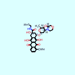 COc1cccc2c1C(=O)c1c(O)c3c(c(O)c1C2=O)C[C@@](O)(C(=O)NCSC)C[C@@H]3O[C@H]1C[C@H]2[C@H](O[C@@H]3COCCN32)[C@H](C)O1